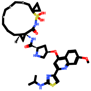 COc1ccc2c(O[C@H]3CN[C@H](C(=O)N[C@]45C[C@H]4CCCCCCCCCC4(CC4)S(O)(O)NC5=O)C3)cc(-c3csc(NC(C)C)n3)nc2c1